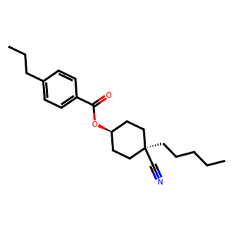 CCCCC[C@]1(C#N)CC[C@@H](OC(=O)c2ccc(CCC)cc2)CC1